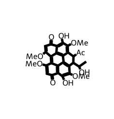 COc1c(O)c2c(=O)cc(OC)c3c4c(OC)cc(=O)c5c(O)c(OC)c6c(c(c1C(C(C)=O)C6C(C)O)c23)c54